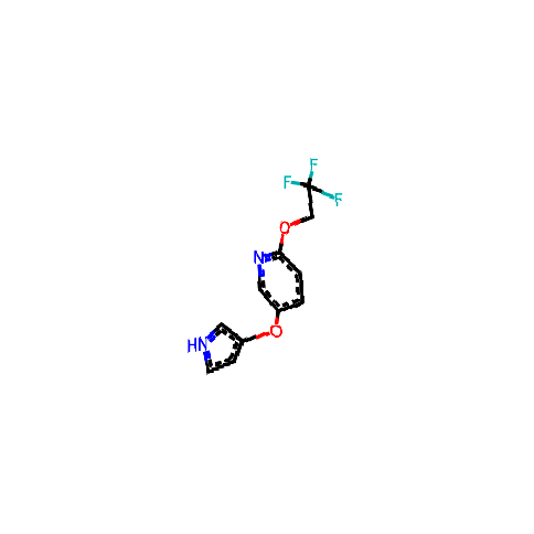 FC(F)(F)COc1ccc(Oc2cc[nH]c2)cn1